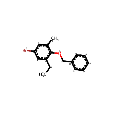 CCc1cc(Br)cc(C)c1OCc1ccccc1